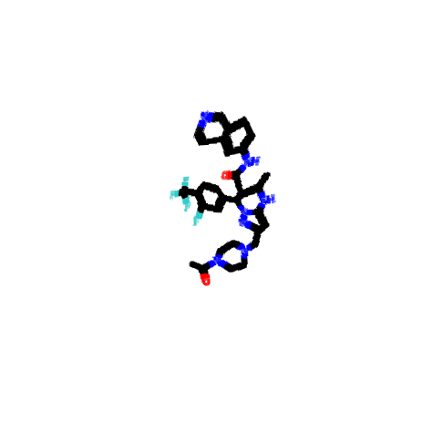 CC(=O)N1CCN(Cc2cc3n(n2)C(c2ccc(C(F)(F)F)c(F)c2)C(C(=O)Nc2ccc4cnccc4c2)=C(C)N3)CC1